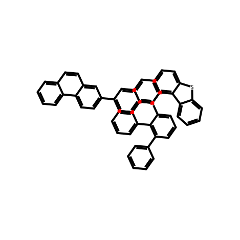 c1ccc(-c2ccccc2-c2c(-c3ccccc3)cccc2N(c2ccc(-c3ccc4c(ccc5ccccc54)c3)cc2)c2cccc3sc4ccccc4c23)cc1